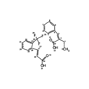 CCC(=Cc1ccccc1)C(=O)O.O=C(O)C=Cc1ccccc1C(F)(F)F